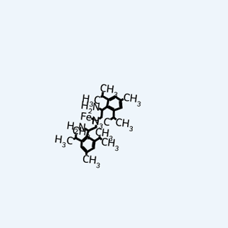 Cc1cc(C(C)C)c(C(N)C[N]([Fe])CC(N)c2c(C(C)C)cc(C)cc2C(C)C)c(C(C)C)c1